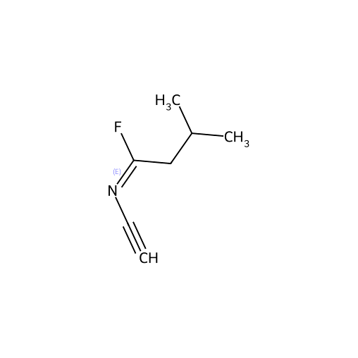 C#C/N=C(/F)CC(C)C